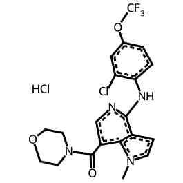 Cl.Cn1ccc2c(Nc3ccc(OC(F)(F)F)cc3Cl)ncc(C(=O)N3CCOCC3)c21